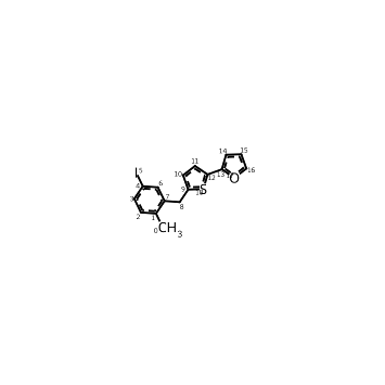 Cc1ccc(I)cc1Cc1ccc(-c2ccco2)s1